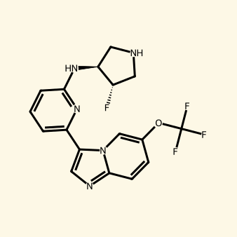 F[C@H]1CNC[C@@H]1Nc1cccc(-c2cnc3ccc(OC(F)(F)F)cn23)n1